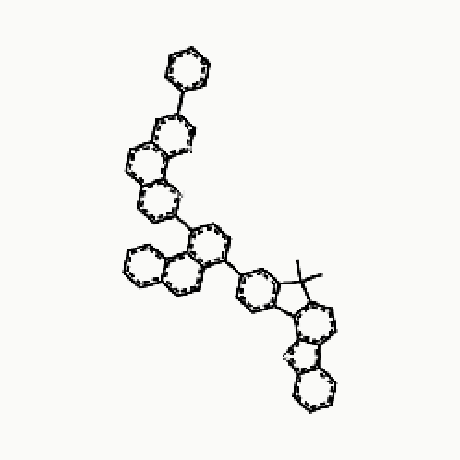 CC1(C)c2cc(-c3ccc(-c4ccc5ccc6cc(-c7ccccc7)cnc6c5n4)c4c3ccc3ccccc34)ccc2-c2c1ccc1c2sc2ccccc21